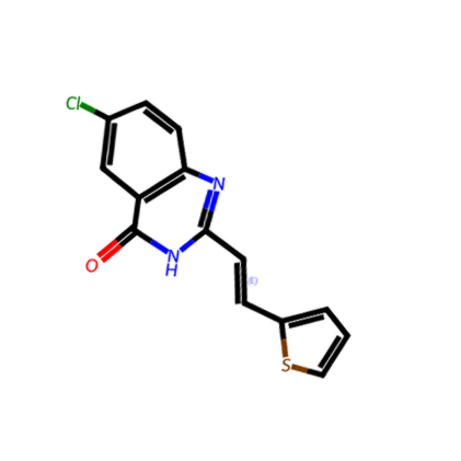 O=c1[nH]c(/C=C/c2cccs2)nc2ccc(Cl)cc12